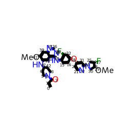 C=CC(=O)N1CCC(Nc2cc3c(Nc4ccc(Oc5ccnc(N6C[C@@H](F)[C@H](OC)C6)c5)cc4F)ncnc3cc2OC)CC1